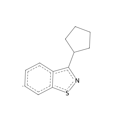 [c]1ccc2c(C3CCCC3)nsc2c1